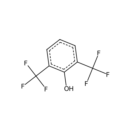 Oc1c(C(F)(F)F)cccc1C(F)(F)F